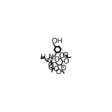 C=CCOC(=O)[C@H]1O[C@@H](Oc2ccc(CO)cc2CN)[C@H](OC(C)=O)[C@@H](OC(C)=O)[C@@H]1OC(C)=O